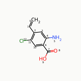 C=Cc1cc(N)c(C(=O)O)cc1Cl